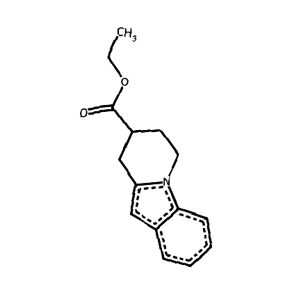 CCOC(=O)C1CCn2c(cc3ccccc32)C1